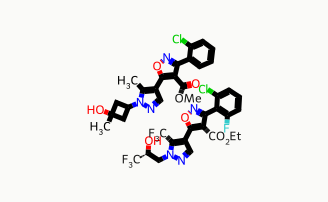 CCOC(=O)c1c(-c2c(F)cccc2Cl)noc1-c1cnn(C[C@@H](O)C(F)(F)F)c1C(F)(F)F.COC(=O)c1c(-c2ccccc2Cl)noc1-c1cnn(C2CC(C)(O)C2)c1C